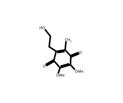 COC1=C(OC)C(=O)C(CCO)=C(C)C1=O